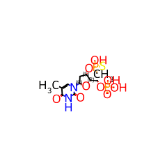 Cc1cn([C@H]2C[C@H](OP(C)(O)=S)[C@@H](COP(=O)(O)O)O2)c(=O)[nH]c1=O